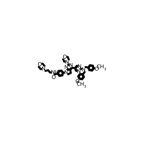 COc1ccc(CN(Cc2ccc(OC)cc2)c2ncc(-c3nc(N4CCOCC4)nc4c3CCN4c3ccc(C(=O)NCCCN4CCOCC4)cc3)cn2)cc1